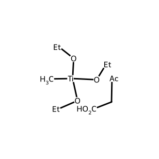 CC(=O)CC(=O)O.CC[O][Ti]([CH3])([O]CC)[O]CC